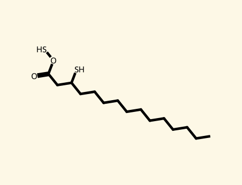 CCCCCCCCCCCCC(S)CC(=O)OS